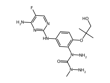 CN(N)C(=O)N(N)c1cc(Nc2ncc(F)c(N)n2)ccc1OC(C)(C)CO